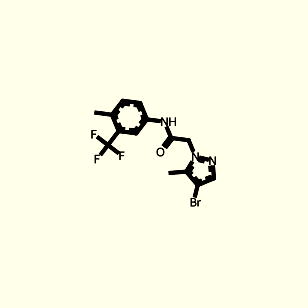 Cc1ccc(NC(=O)Cn2ncc(Br)c2C)cc1C(F)(F)F